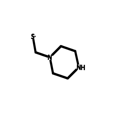 [S]CN1CCNCC1